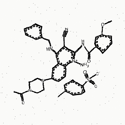 COc1cccc(C(=O)Nc2c(C#N)c(NCc3ccccc3)c3cc(N4CCN(C(C)=O)CC4)ccc3[n+]2N)c1.Cc1ccc(S(=O)(=O)[O-])cc1